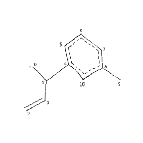 [CH2]C(C=C)c1cccc(C)c1